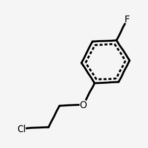 Fc1ccc(OCCCl)cc1